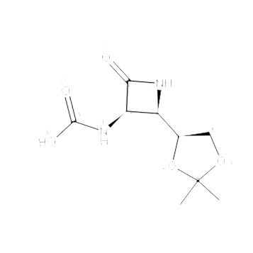 CC1(C)OC[C@H]([C@@H]2NC(=O)[C@@H]2NC(=O)O)O1